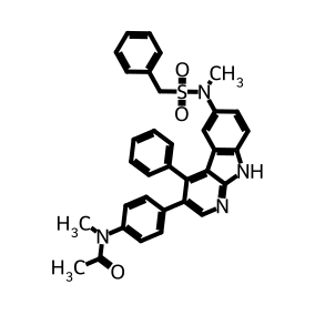 CC(=O)N(C)c1ccc(-c2cnc3[nH]c4ccc(N(C)S(=O)(=O)Cc5ccccc5)cc4c3c2-c2ccccc2)cc1